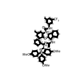 C=C(N[C@@H](CN=P(c1ccc(OC)cc1)(c1ccc(OC)cc1)c1ccc(OC)cc1)c1ccccc1)N[C@H]1c2ccccc2C[C@@H]1Oc1ccc(C)cc1NC(=O)Nc1cc(C)cc(C(F)(F)F)c1